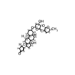 C[C@@H]1CCC[C@H](O[C@H]2[C@@H](O)C[C@H](O[C@H]3CC[C@]4(C)C5CC[C@]6(C)[C@@H](C7=CC(=O)CC7)CC[C@]6(O)C5CC[C@@H]4C3)O[C@@H]2C)O1